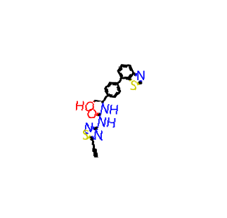 C#Cc1nc(NC(=O)N[C@@H](CO)c2ccc(-c3cccc4ncsc34)cc2)ns1